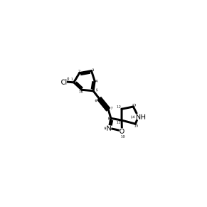 Clc1cccc(C#CC2=NOC23CCNC3)c1